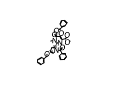 COC(=O)c1nc([C@@H]2C[C@@H](OCc3ccccc3)CN2C(=O)c2ccccc2)n(C)c(=O)c1OC(=O)c1ccccc1